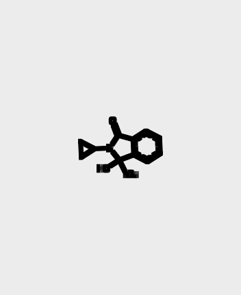 CCCCC1(O)c2ccccc2C(=O)N1C1CC1